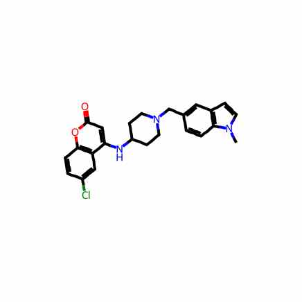 Cn1ccc2cc(CN3CCC(Nc4cc(=O)oc5ccc(Cl)cc45)CC3)ccc21